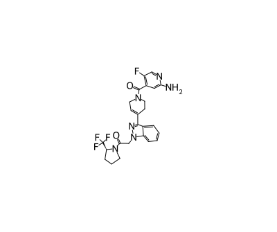 Nc1cc(C(=O)N2CC=C(c3nn(CC(=O)N4CCC[C@H]4C(F)(F)F)c4ccccc34)CC2)c(F)cn1